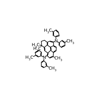 Cc1cccc(N(c2cccc(C)c2)c2cc(C)c3ccc4c(N(c5cccc(C)c5)c5cccc(C)c5)cc5c6c(cc2c3c46)C(C)(C)CC5)c1